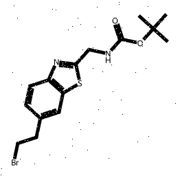 CC(C)(C)OC(=O)NCc1nc2ccc(CCBr)cc2s1